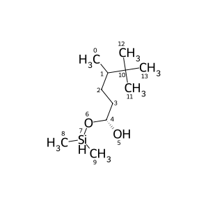 CC(CC[C@H](O)O[SiH](C)C)C(C)(C)C